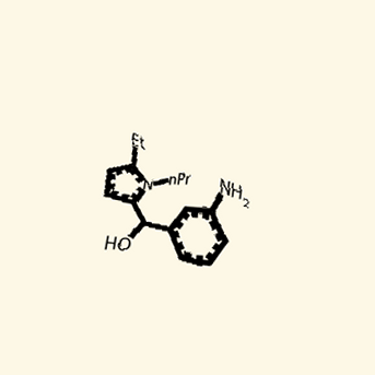 CCCn1c(CC)ccc1C(O)c1cccc(N)c1